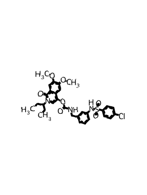 CCC(CC)n1cc(OC(=O)NCc2cccc(NS(=O)(=O)c3ccc(Cl)cc3)c2)c2cc(OC)c(OC)cc2c1=O